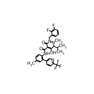 Cc1ccc(NC(=O)C2=C(O)C(C(C)C)N(C)N(Cc3cccc(F)c3F)C2=O)c(-c2ccc(C(F)(F)F)nc2)c1